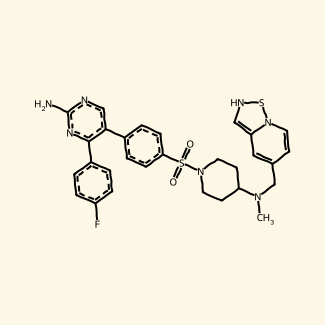 CN(CC1=CC2=CNSN2C=C1)C1CCN(S(=O)(=O)c2ccc(-c3cnc(N)nc3-c3ccc(F)cc3)cc2)CC1